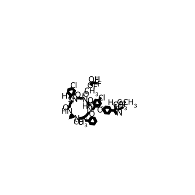 COC[C@@H]1NC(=O)[C@H](C)N(Cc2ccc(Cl)cc2Oc2ccc(-c3cnc(CN(C)C)n3C)cc2)C(=O)C[C@@H](Cc2ccccc2)C(=O)N(C)C2CC2NC(=O)C[C@H](Cc2ccc(Cl)cc2)N(C)C1=O.O=C(O)C(F)(F)F